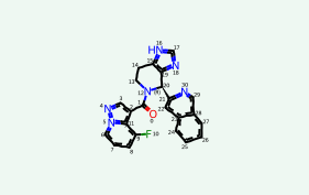 O=C(c1cnn2cccc(F)c12)N1CCc2[nH]cnc2[C@H]1c1cc2ccccc2cn1